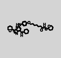 O=C(CCCCCCOc1ccc(Nc2cc(NC3CCCCC3)c3ncn(C4CCCCO4)c3n2)cc1)NOC1CCCCO1